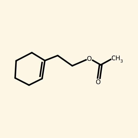 CC(=O)OCCC1=CCCCC1